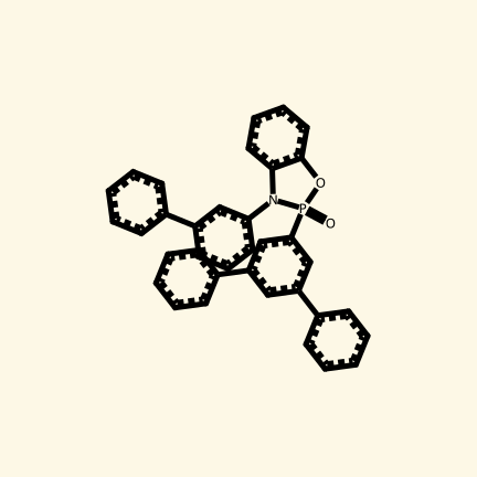 O=P1(c2cc(-c3ccccc3)cc(-c3ccccc3)c2)Oc2ccccc2N1c1cccc(-c2ccccc2)c1